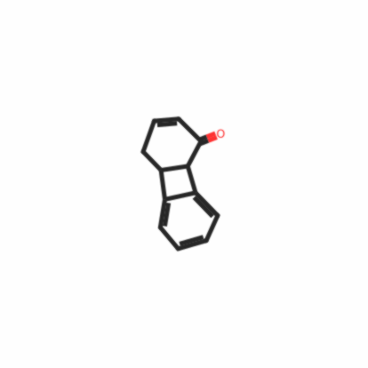 O=C1C=CCC2c3ccccc3C12